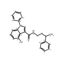 CC(CCNC(=O)c1cn(-c2ncccn2)c2cccc(Cl)c12)c1ccccc1